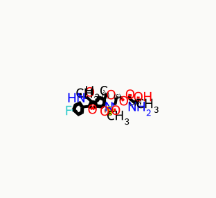 CNC(=O)c1c(-c2ccc(F)cc2)oc2cc3c(cc12)[C@H](C)O[C@H](COC(=O)[C@@H](N)[C@@H](C)O)CN3S(C)(=O)=O